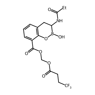 CCC(=O)NC1Cc2cccc(C(=O)OCOC(=O)CCC(F)(F)F)c2OB1O